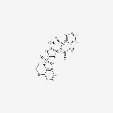 Cc1sc(S(=O)(=O)N2CCCc3ccccc32)cc1-n1c(=O)[nH]c2ccccc2c1=O